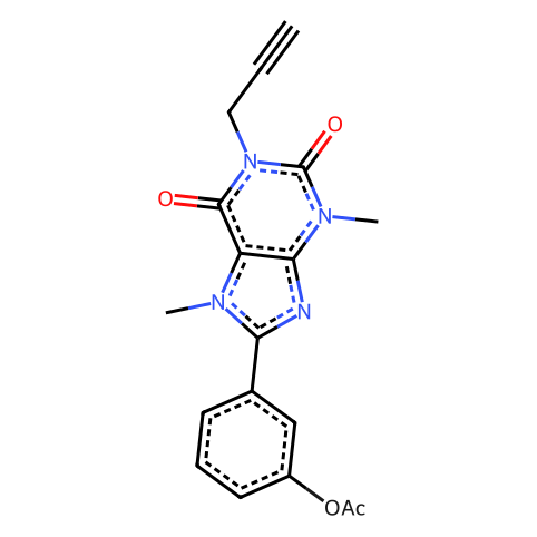 C#CCn1c(=O)c2c(nc(-c3cccc(OC(C)=O)c3)n2C)n(C)c1=O